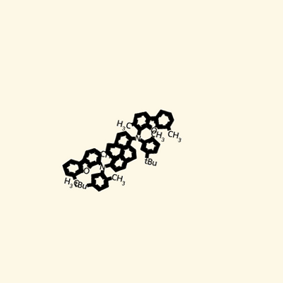 Cc1ccc(C(C)(C)C)cc1N(c1ccc2ccc3c(N(c4cc(C(C)(C)C)ccc4C)c4c(C)ccc5c4oc4c(C)cccc45)ccc4ccc1c2c43)c1c(C)ccc2c1oc1c(C)cccc12